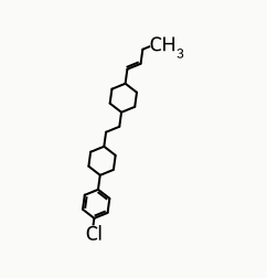 CCC=CC1CCC(CCC2CCC(c3ccc(Cl)cc3)CC2)CC1